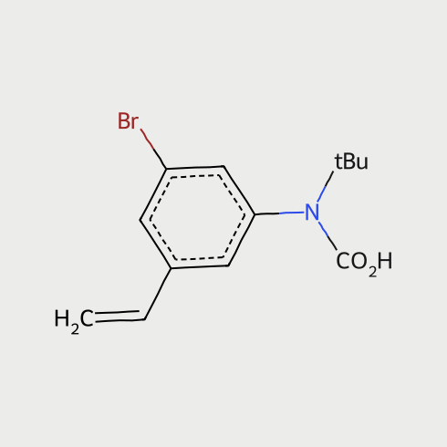 C=Cc1cc(Br)cc(N(C(=O)O)C(C)(C)C)c1